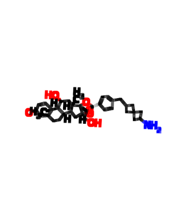 C[C@]12C=CC(=O)C=C1CC[C@@H]1[C@@H]2[C@@H](O)C[C@@]2(C)[C@H]1C[C@H]1O[C@@H](c3ccc(CC4CC5(CC(N)C5)C4)cc3)O[C@]12C(=O)CO